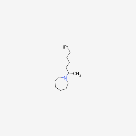 CC(C)CCCCC(C)N1CCCCCC1